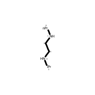 CCCNCCNC(C)C